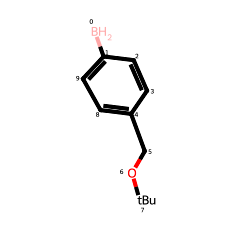 Bc1ccc(COC(C)(C)C)cc1